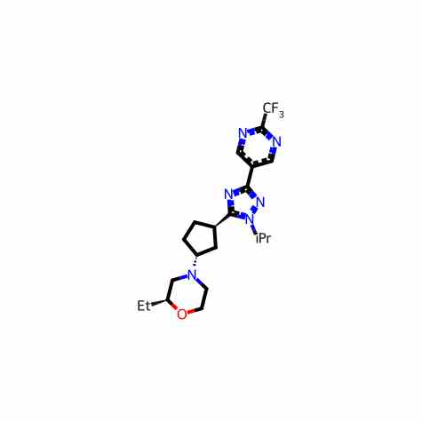 CC[C@H]1CN([C@@H]2CC[C@@H](c3nc(-c4cnc(C(F)(F)F)nc4)nn3C(C)C)C2)CCO1